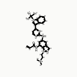 [2H]C([2H])([2H])n1cc(-c2ccnc(Nc3cc(NC(=O)C=C)c4c(cnn4CCN(C)C)c3)n2)c2ccccc21